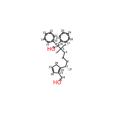 C[C@@H](CCCC(C)(C)[Si](O)(c1ccccc1)c1ccccc1)C1=C(CO)C=CC1